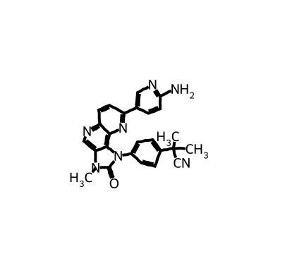 Cn1c(=O)n(-c2ccc(C(C)(C)C#N)cc2)c2c3nc(-c4ccc(N)nc4)ccc3ncc21